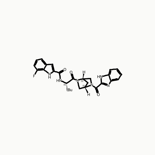 CC(C)(C)[C@H](NC(=O)c1cc2cccc(F)c2[nH]1)C(=O)N1C[C@@H]2C[C@H]1CN2C(=O)c1nc2ccccc2[nH]1